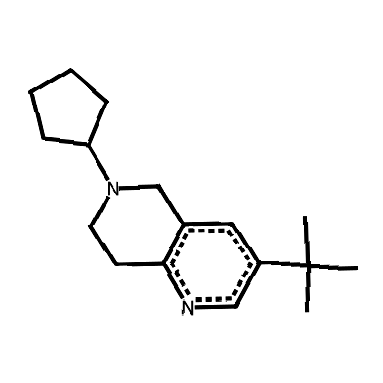 CC(C)(C)c1cnc2c(c1)CN(C1CCCC1)CC2